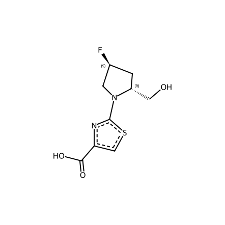 O=C(O)c1csc(N2C[C@@H](F)C[C@@H]2CO)n1